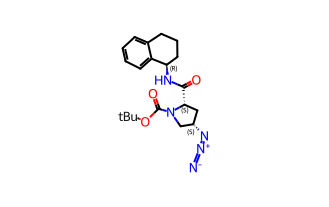 CC(C)(C)OC(=O)N1C[C@@H](N=[N+]=[N-])C[C@H]1C(=O)N[C@@H]1CCCc2ccccc21